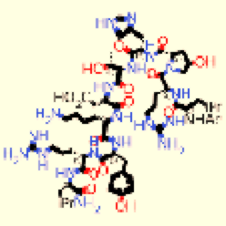 CC(=O)N[C@@H](CC(C)C)C(=O)N[C@@H](CCCNC(=N)N)C(=O)N1CC(O)C[C@H]1C(=O)N[C@@H](Cc1c[nH]cn1)C(=O)N[C@H](C(=O)N[C@@H](CC(=O)O)C(=O)N[C@@H](CCCCN)C(=O)N[C@@H](Cc1ccc(O)cc1)C(=O)N[C@@H](CCCNC(=N)N)C(=O)N[C@@H](CC(C)C)C(N)=O)[C@@H](C)O